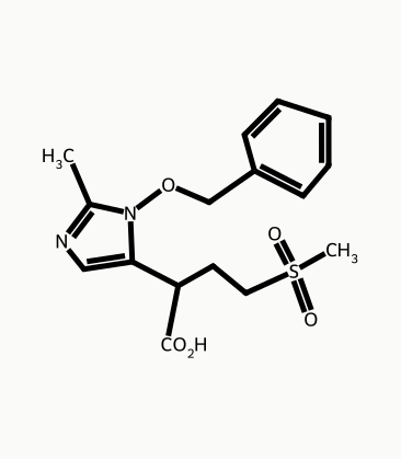 Cc1ncc(C(CCS(C)(=O)=O)C(=O)O)n1OCc1ccccc1